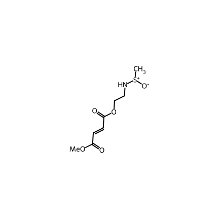 COC(=O)/C=C/C(=O)OCCN[S+](C)[O-]